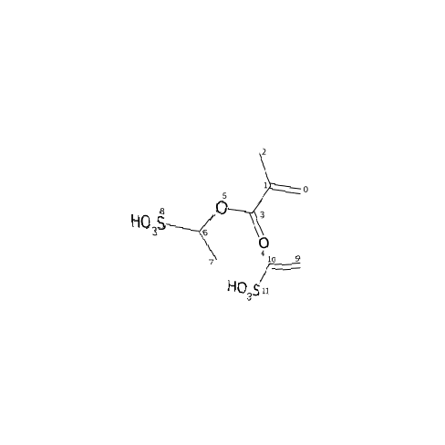 C=C(C)C(=O)OC(C)S(=O)(=O)O.C=CS(=O)(=O)O